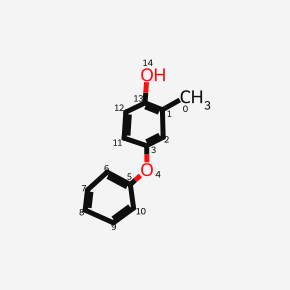 Cc1cc(Oc2ccccc2)ccc1O